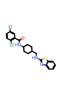 O=C(NC1CCC(CNc2nc3ccccc3s2)CC1)c1cc(Cl)ccc1Cl